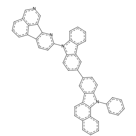 c1ccc(-n2c3ccc(-c4ccc5c(c4)c4ccccc4n5-c4ccc5c(n4)-c4cncc6cccc-5c46)cc3c3ccc4ccccc4c32)cc1